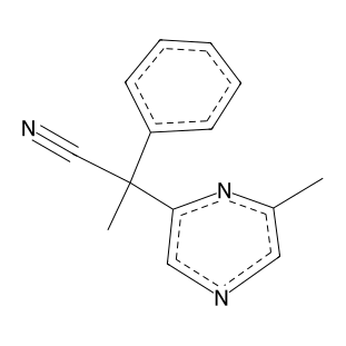 Cc1cncc(C(C)(C#N)c2ccccc2)n1